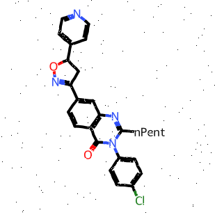 CCCCCc1nc2cc(C3=NOC(c4ccncc4)C3)ccc2c(=O)n1-c1ccc(Cl)cc1